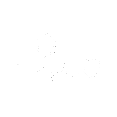 CCOC(=O)CN(C(=O)/C(C)=C/c1ccccc1)c1ccccc1.Cl